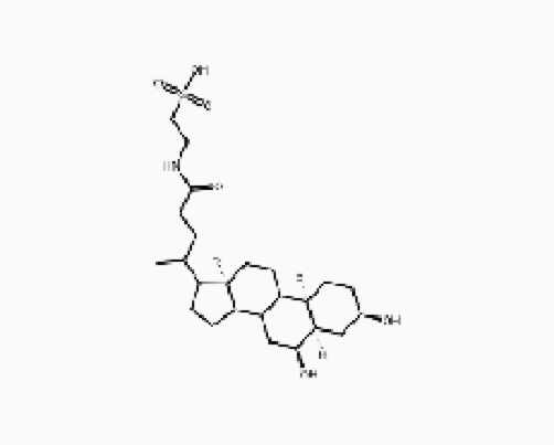 CC(CCC(=O)NCCS(=O)(=O)O)C1CCC2C3C[C@H](O)[C@@H]4C[C@H](O)CC[C@]4(C)C3CC[C@]12C